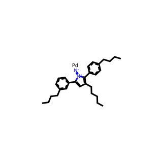 CCCCCC1=C(c2ccc(CCCC)cc2)[N+](=[N-])C(c2cccc(CCCC)c2)=C1.[Pd]